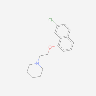 Clc1ccc2cccc(OCCN3CCCCC3)c2c1